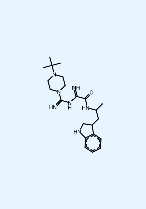 CC(CC1CNc2ccccc21)NC(=O)C(=N)NC(=N)N1CCN(C(C)(C)C)CC1